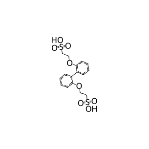 O=S(=O)(O)CCOc1ccccc1-c1ccccc1OCCS(=O)(=O)O